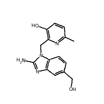 Cc1ccc(O)c(Cn2c(N)nc3cc(CO)ccc32)n1